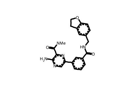 CNC(=O)c1nc(-c2cccc(C(=O)NCc3ccc4c(c3)CCO4)c2)cnc1N